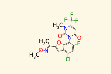 CON=C(C)c1cc2c(Cl)cc(F)c(-n3c(=O)cc(C(F)(F)F)n(C)c3=O)c2o1